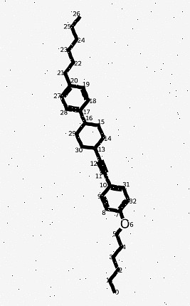 CCCCCCOc1ccc(C#CC2CCC(c3ccc(CCCCCC)cc3)CC2)cc1